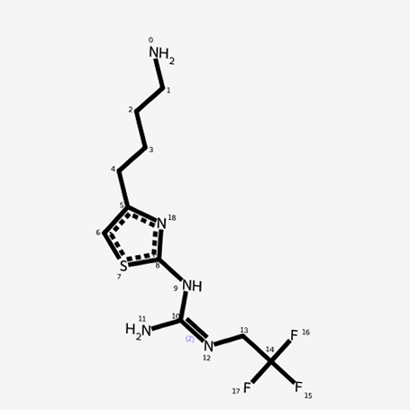 NCCCCc1csc(N/C(N)=N\CC(F)(F)F)n1